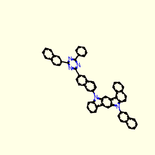 c1ccc(-c2nc(-c3ccc4ccccc4c3)nc(-c3ccc4cc(-n5c6ccccc6c6cc7c(cc65)c5c6ccccc6ccc5n7-c5ccc6ccccc6c5)ccc4c3)n2)cc1